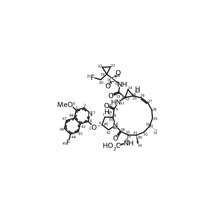 COc1cnc(O[C@@H]2C[C@H]3C(=O)N[C@]4(C(=O)NS(=O)(=O)C5(CF)CC5)C[C@H]4C=CCC[C@H](C)C[C@@H](C)[C@H](NC(=O)O)C(=O)N3C2)c2cc(F)ccc12